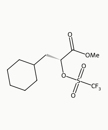 COC(=O)[C@@H](CC1CCCCC1)OS(=O)(=O)C(F)(F)F